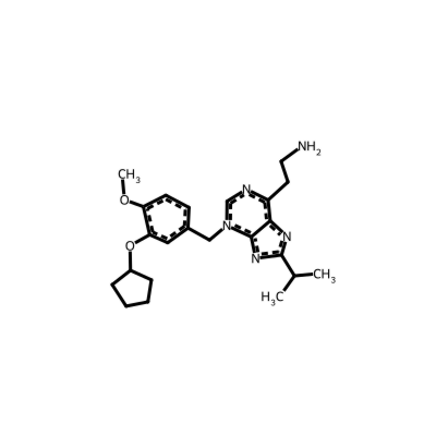 COc1ccc(Cn2cnc(CCN)c3nc(C(C)C)nc2-3)cc1OC1CCCC1